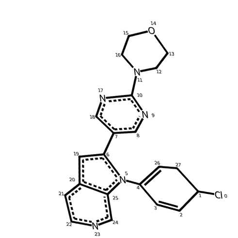 ClC1C=CC(n2c(-c3cnc(N4CCOCC4)nc3)cc3ccncc32)=CC1